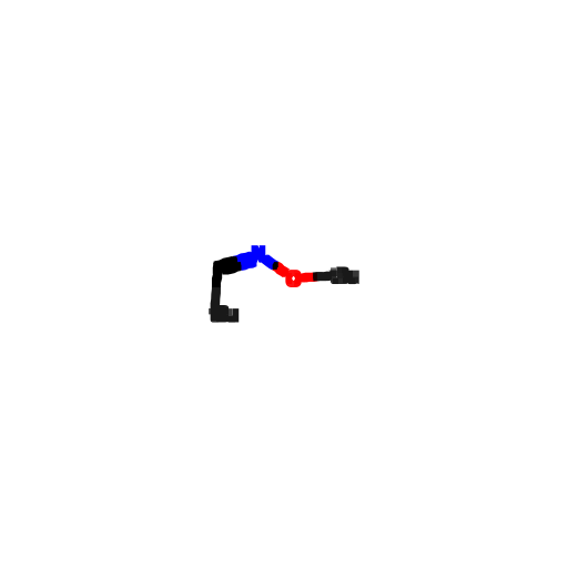 CC(C)(C)/C=N\OC(C)(C)C